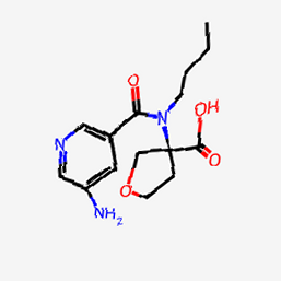 CCCCN(C(=O)c1cncc(N)c1)[C@@]1(C(=O)O)CCOC1